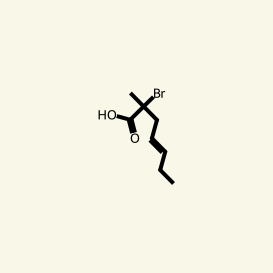 CCC=CCC(C)(Br)C(=O)O